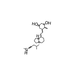 C=C1C(=CC=C2CCC[C@@]3(CC(C)CC#C[SiH](C)C)CCC[C@H]23)C[C@@H](O)C[C@@H]1O